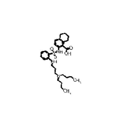 CCCCN(CCCC)CCCNc1ccccc1S(=O)(=O)Nc1ccc2c(c1C(=O)O)CCCC2